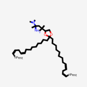 CCCCC/C=C\C/C=C\CCCCCCCCC1(CCCCCCCC/C=C\C/C=C\CCCCC)OCC(C(C)(C)CC(C)(N)N(C)C)O1